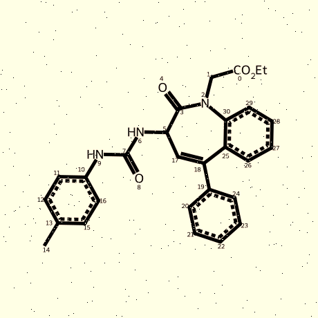 CCOC(=O)CN1C(=O)C(NC(=O)Nc2ccc(C)cc2)C=C(c2ccccc2)c2ccccc21